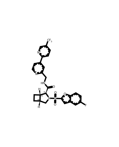 O=C(NCc1cc(-c2ccc(C(F)(F)F)cn2)ccn1)[C@@H]1[C@H]2CC[C@H]2CN1S(=O)(=O)c1cc2cc(F)ccc2o1